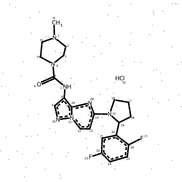 CN1CCN(C(=O)Nc2cnn3ccc(N4CCCC4c4cc(F)ccc4F)nc23)CC1.Cl